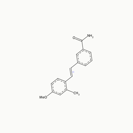 COc1ccc(/C=C/c2cccc(C(N)=O)c2)c(C)c1